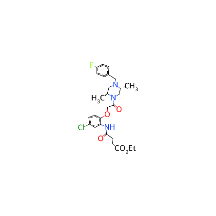 CCOC(=O)CCC(=O)Nc1cc(Cl)ccc1OCC(=O)N1C[C@@H](C)N(Cc2ccc(F)cc2)C[C@@H]1C